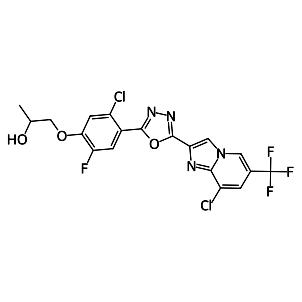 CC(O)COc1cc(Cl)c(-c2nnc(-c3cn4cc(C(F)(F)F)cc(Cl)c4n3)o2)cc1F